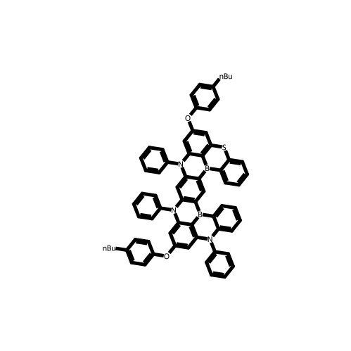 CCCCc1ccc(Oc2cc3c4c(c2)N(c2ccccc2)c2cc5c(cc2B4c2ccccc2S3)B2c3ccccc3N(c3ccccc3)c3cc(Oc4ccc(CCCC)cc4)cc(c32)N5c2ccccc2)cc1